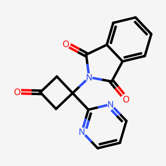 O=C1CC(c2ncccn2)(N2C(=O)c3ccccc3C2=O)C1